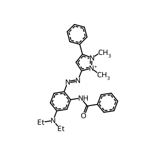 CCN(CC)c1ccc(N=Nc2cc(-c3ccccc3)n(C)[n+]2C)c(NC(=O)c2ccccc2)c1